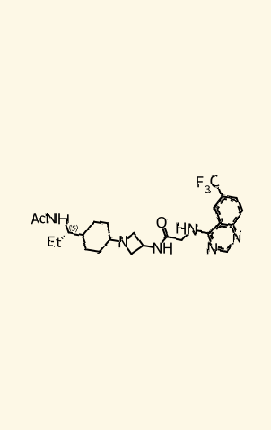 CC[C@H](NC(C)=O)C1CCC(N2CC(NC(=O)CNc3ncnc4ccc(C(F)(F)F)cc34)C2)CC1